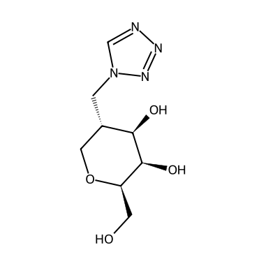 OC[C@H]1OC[C@H](Cn2cnnn2)[C@@H](O)[C@H]1O